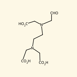 O=CCN(CCN(CC(=O)O)CC(=O)O)CC(=O)O